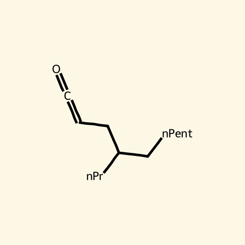 CCCCCCC(CC=C=O)CCC